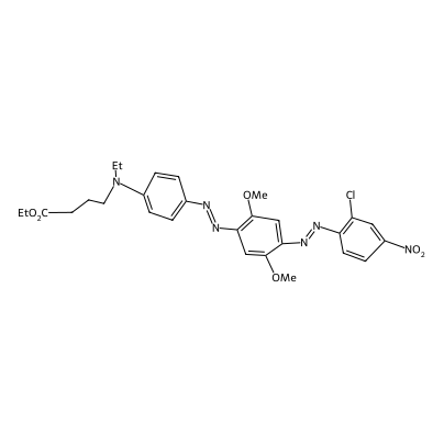 CCOC(=O)CCCN(CC)c1ccc(N=Nc2cc(OC)c(N=Nc3ccc([N+](=O)[O-])cc3Cl)cc2OC)cc1